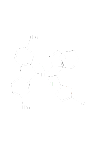 CCCCc1ccc([C](c2ccccc2)=[Hf]([Cl])([Cl])([CH]2C=CC=C2)[CH]2c3cc(C(C)(C)C)ccc3-c3ccc(C(C)(C)C)cc32)s1